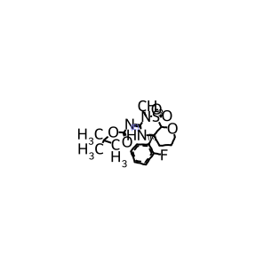 CN1/C(=N/C(=O)OC(C)(C)C)N[C@@]2(c3ccccc3F)CCCOC2S1(=O)=O